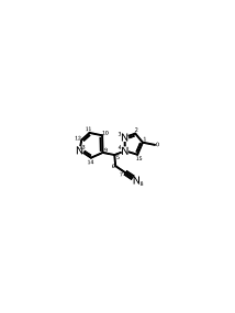 Cc1cnn(C(CC#N)c2cccnc2)c1